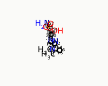 CC(c1ccccc1)N(C)c1ccnc2c1ccn2[C@@H]1C[C@@H](COS(N)(=O)=O)[C@@H](O)C1